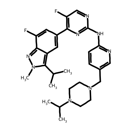 CC(C)c1c2cc(-c3nc(Nc4ccc(CN5CCN(C(C)C)CC5)cn4)ncc3F)cc(F)c2nn1C